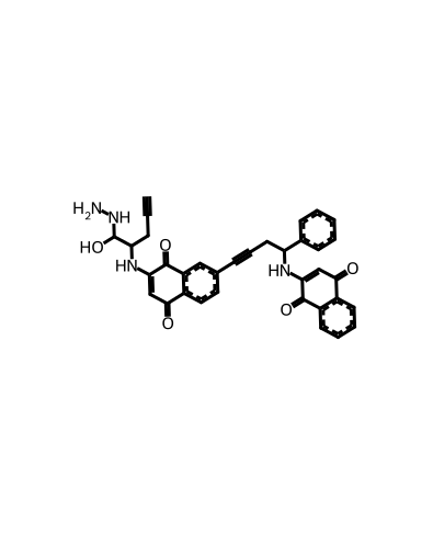 C#CCC(NC1=CC(=O)c2ccc(C#CCC(NC3=CC(=O)c4ccccc4C3=O)c3ccccc3)cc2C1=O)C(O)NN